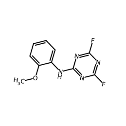 COc1ccccc1Nc1nc(F)nc(F)n1